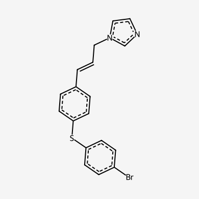 Brc1ccc(Sc2ccc(C=CCn3ccnc3)cc2)cc1